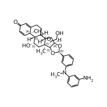 CN(c1cccc(N)c1)c1cccc([C@@H]2O[C@@H]3C[C@H]4[C@@H]5CCC6=CC(=O)C=C[C@]6(C)[C@H]5[C@@H](O)C[C@]4(C)[C@]3(C(=O)CO)O2)c1